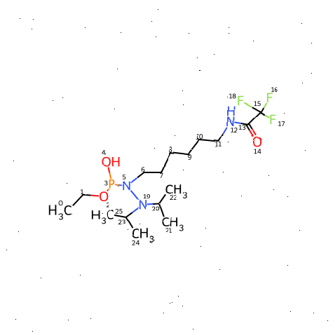 CCOP(O)N(CCCCCCNC(=O)C(F)(F)F)N(C(C)C)C(C)C